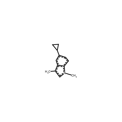 Cc1cn(C)c2ccc(C3CC3)cc12